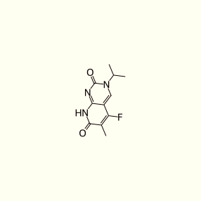 Cc1c(F)c2cn(C(C)C)c(=O)nc2[nH]c1=O